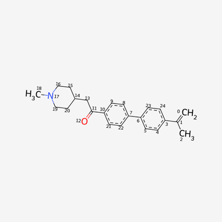 C=C(C)c1ccc(-c2ccc(C(=O)CC3CCN(C)CC3)cc2)cc1